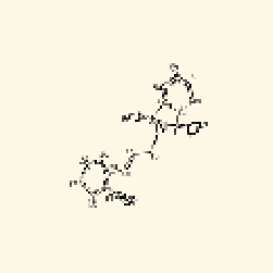 O=C1c2ccccc2C(=O)N1C/C=C/c1ccccc1Br